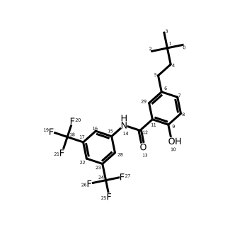 CC(C)(C)CCc1ccc(O)c(C(=O)Nc2cc(C(F)(F)F)cc(C(F)(F)F)c2)c1